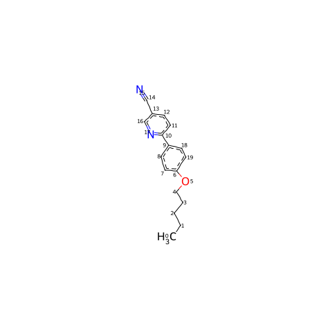 CCCCCOc1ccc(-c2ccc(C#N)cn2)cc1